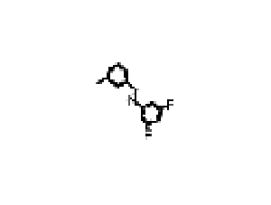 Cc1cccc(C[N]c2cc(F)cc(F)c2)c1